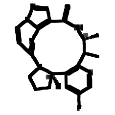 CC1c2ncc(F)cc2[C@H]2CCCN2c2ccn3ncc(c3n2)C(=O)N[C@@H]1C